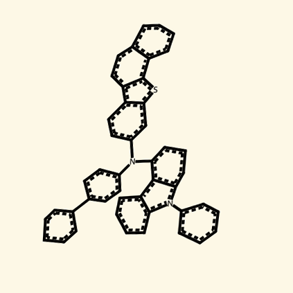 c1ccc(-c2ccc(N(c3ccc4c(c3)sc3c5ccccc5ccc43)c3cccc4c3c3ccccc3n4-c3ccccc3)cc2)cc1